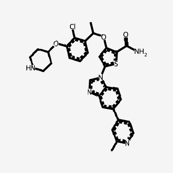 Cc1cc(-c2ccc3c(c2)ncn3-c2cc(OC(C)c3cccc(OC4CCNCC4)c3Cl)c(C(N)=O)s2)ccn1